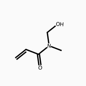 C=CC(=O)N(C)CO